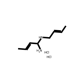 CC=CCNC(N)C=CC.Cl.Cl